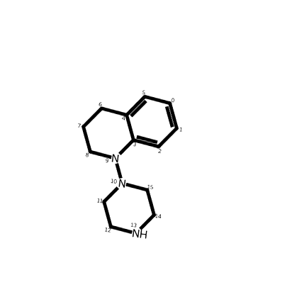 c1ccc2c(c1)CCCN2N1CCNCC1